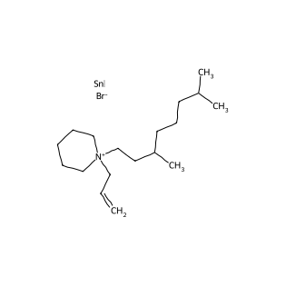 C=CC[N+]1(CCC(C)CCCC(C)C)CCCCC1.[Br-].[Sn]